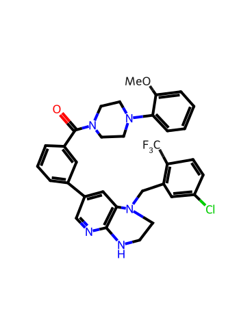 COc1ccccc1N1CCN(C(=O)c2cccc(-c3cnc4c(c3)N(Cc3cc(Cl)ccc3C(F)(F)F)CCN4)c2)CC1